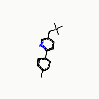 Cc1ccc(-c2ccc(C[Si](C)(C)C)cn2)cc1